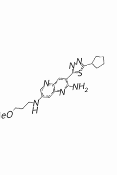 COCCCNc1cnc2cc(-c3nnc(C4CCCC4)s3)c(N)nc2c1